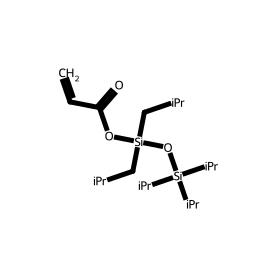 C=CC(=O)O[Si](CC(C)C)(CC(C)C)O[Si](C(C)C)(C(C)C)C(C)C